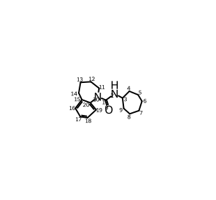 O=C(NC1CCCCCC1)N1CCCCc2ccccc21